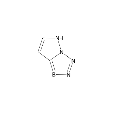 b1nnn2[nH]ccc12